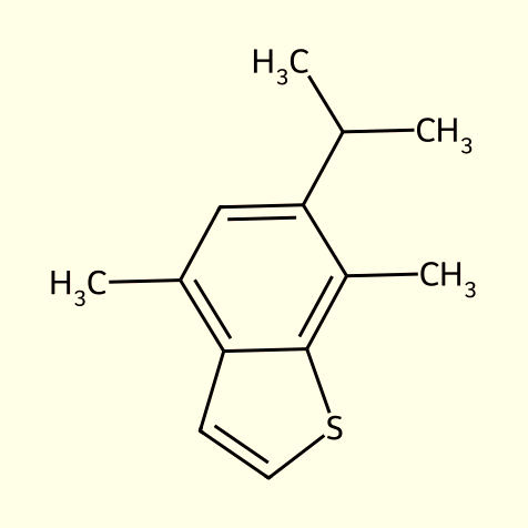 Cc1cc(C(C)C)c(C)c2sccc12